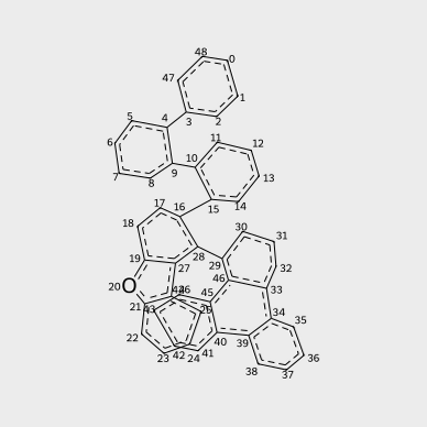 c1ccc(-c2ccccc2-c2ccccc2-c2ccc3oc4ccccc4c3c2-c2cccc3c4ccccc4c4ccccc4c23)cc1